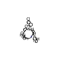 C[C@@H]1[C@@H](C)C/C=C/[C@H](CN2CCN3CCC[C@@H]3C2)[C@@H]2CC[C@H]2CN2C[C@@]3(CCCc4cc(Cl)ccc43)COc3ccc(cc32)C(=O)NS1(=O)=O